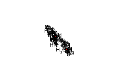 COc1cc(CN2CCN(C3CC4(CCN(c5ccc(C(=O)NS(=O)(=O)c6cc([N+](=O)[O-])c7c(n6)OC[C@H](C6CCOCC6)N7)c(N6c7cc8cc[nH]c8nc7O[C@H]7COCC[C@@H]76)c5)CC4)C3)[C@@H](c3ccccc3OC(C)C)C2)cnc1N1CCOCC1